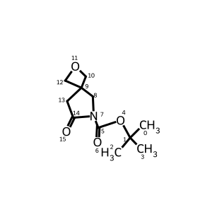 CC(C)(C)OC(=O)N1CC2(COC2)CC1=O